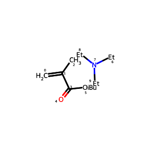 C=C(C)C(=O)OCC(C)C.CCN(CC)CC